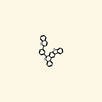 c1cc(-c2ccc3ccccc3n2)cc(-c2nc3ccccc3c3cc4c(cc23)sc2ccccc24)c1